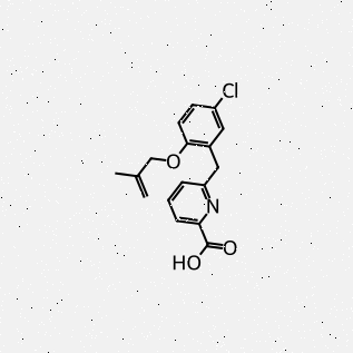 C=C(C)COc1ccc(Cl)cc1Cc1cccc(C(=O)O)n1